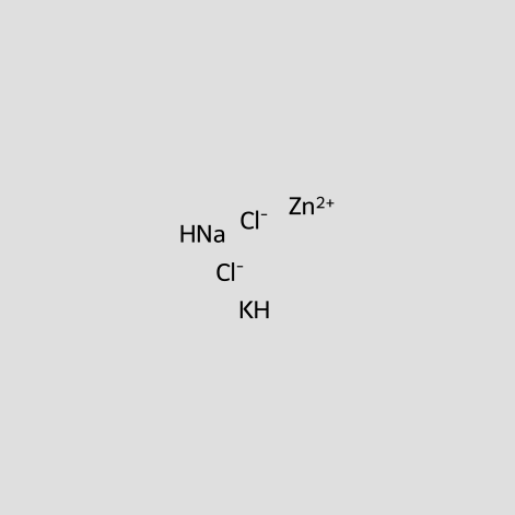 [Cl-].[Cl-].[KH].[NaH].[Zn+2]